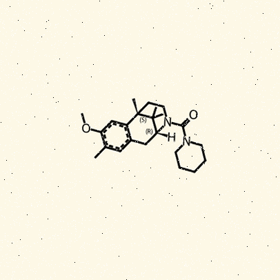 COc1cc2c(cc1C)C[C@H]1N(C(=O)N3CCCCC3)CC[C@]2(C)C1(C)C